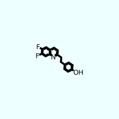 Oc1ccc(CCc2ccc3cc(F)c(F)cc3n2)cc1